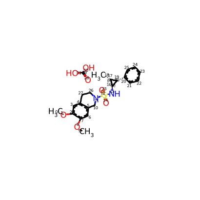 COc1cc2c(cc1OC)CN(S(=O)(=O)N[C@H]1[C@H](C)[C@@H]1c1ccccc1)CC2.O=C(O)O